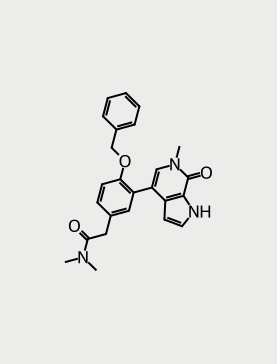 CN(C)C(=O)Cc1ccc(OCc2ccccc2)c(-c2cn(C)c(=O)c3[nH]ccc23)c1